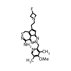 COc1c(C)cnc(Cn2nc3cc(CCN4CC(F)C4)c4c-3c(n2)C(N)=NSC4)c1C